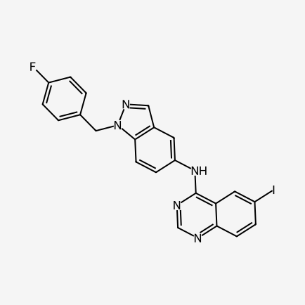 Fc1ccc(Cn2ncc3cc(Nc4ncnc5ccc(I)cc45)ccc32)cc1